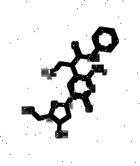 CCC(C(=O)Nc1ccccc1)c1cn([C@H]2CC(O)[C@@H](CO)O2)c(=O)nc1N